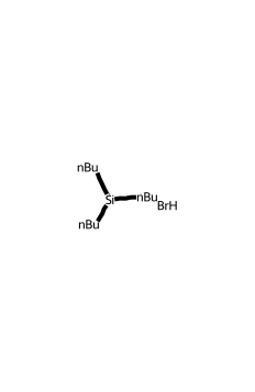 Br.CCCC[Si](CCCC)CCCC